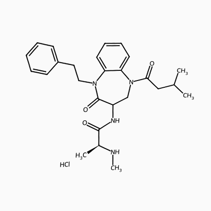 CN[C@@H](C)C(=O)NC1CN(C(=O)CC(C)C)c2ccccc2N(CCc2ccccc2)C1=O.Cl